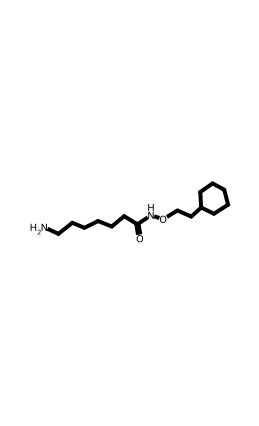 NCCCCCCC(=O)NOCCC1CCCCC1